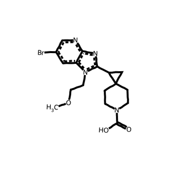 COCCn1c(C2CC23CCN(C(=O)O)CC3)nc2ncc(Br)cc21